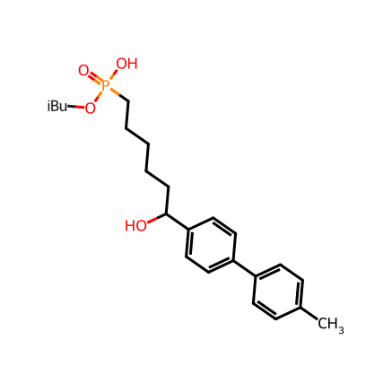 CCC(C)OP(=O)(O)CCCCCC(O)c1ccc(-c2ccc(C)cc2)cc1